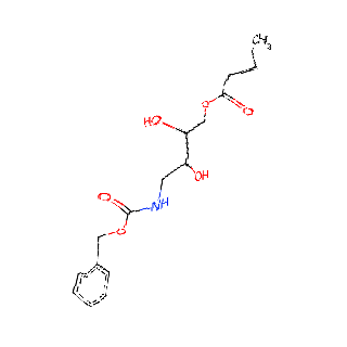 CCCC(=O)OCC(O)C(O)CNC(=O)OCc1ccccc1